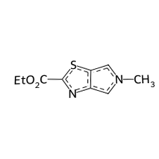 CCOC(=O)c1nc2cn(C)cc2s1